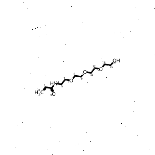 C=CC(=O)NCCOCCOCCOCCO